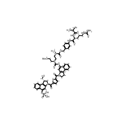 COCCN(CCN(C)C(=O)OCc1ccc(NC(=O)[C@H](CCCNC(N)=O)NC(=O)C(N)C(C)C)cc1)C(=O)Oc1cc2c(c3ccccc13)CCN2C(=O)c1ccc(C(=O)N2C[C@@H](CCl)c3c2cc(OP(=O)(O)O)c2ccccc32)s1